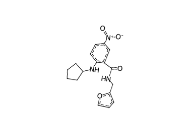 O=C(NCc1ccco1)c1cc([N+](=O)[O-])ccc1NC1CCCC1